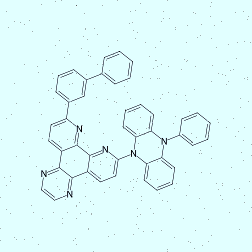 c1ccc(-c2cccc(-c3ccc4c5nccnc5c5ccc(N6c7ccccc7N(c7ccccc7)c7ccccc76)nc5c4n3)c2)cc1